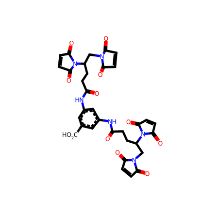 O=C(CCC(CN1C(=O)C=CC1=O)N1C(=O)C=CC1=O)Nc1cc(NC(=O)CCC(CN2C(=O)C=CC2=O)N2C(=O)C=CC2=O)cc(C(=O)O)c1